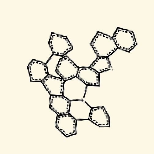 c1ccc(-c2ccccc2N(c2cc3oc4c5ccccc5ccc4c3c3ccccc23)c2cccc3c2oc2c(-c4ccccc4)cccc23)cc1